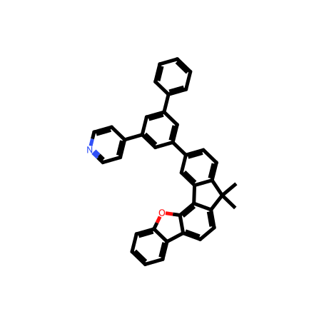 CC1(C)c2ccc(-c3cc(-c4ccccc4)cc(-c4ccncc4)c3)cc2-c2c1ccc1c2oc2ccccc21